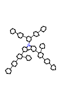 c1ccc(-c2ccc(-c3cc(-c4ccc(-c5ccccc5)cc4)cc(-n4c5ccc(-c6ccc(-c7ccc(-c8ccccc8)cc7)cc6-c6ccccc6)cc5c5cc(-c6ccc(-c7ccc(-c8ccccc8)cc7)cc6-c6ccccc6)ccc54)c3)cc2)cc1